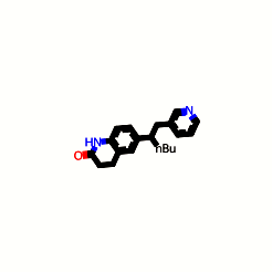 CCCCC(Cc1cccnc1)c1ccc2c(c1)CCC(=O)N2